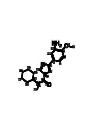 COc1ccc(-c2cn(C(=O)N(C)C3CCCCC3)cn2)cc1N